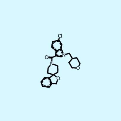 O=C(c1cn(CC2CCOCC2)c2cc(Cl)ccc12)N1CCC2(CC1)OCc1ccccc12